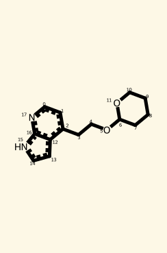 c1cc(CCOC2CCCCO2)c2cc[nH]c2n1